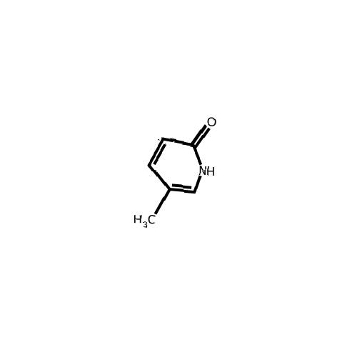 Cc1c[c]c(=O)[nH]c1